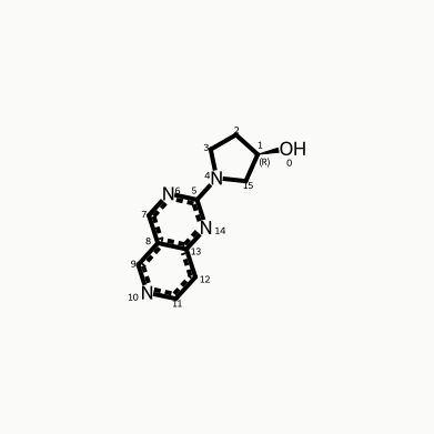 O[C@@H]1CCN(c2ncc3cnccc3n2)C1